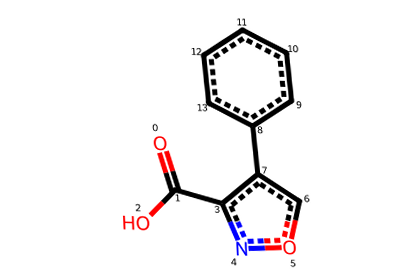 O=C(O)c1nocc1-c1ccccc1